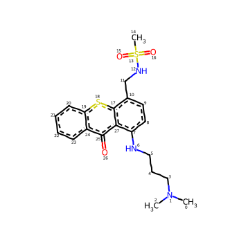 CN(C)CCCNc1ccc(CNS(C)(=O)=O)c2sc3ccccc3c(=O)c12